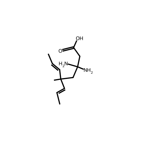 CC=CC(C)(C=CC)CC(N)(N)CC(=O)O